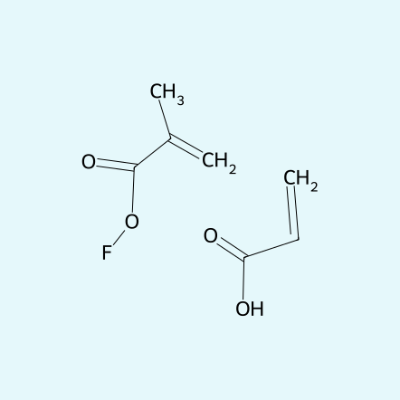 C=C(C)C(=O)OF.C=CC(=O)O